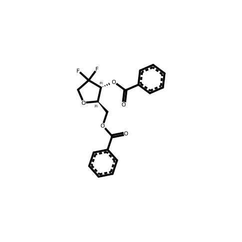 O=C(OC[C@H]1OCC(F)(F)[C@@H]1OC(=O)c1ccccc1)c1ccccc1